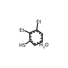 CCc1cccc(S)c1CC.O